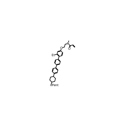 C=CC(=O)N(C)CCOc1ccc(-c2ccc(-c3ccc(C4CCC(CCCCC)CC4)cc3)cc2)c(CC)c1